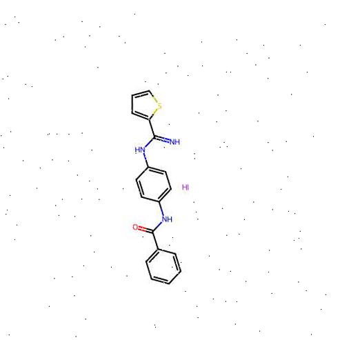 I.N=C(Nc1ccc(NC(=O)c2ccccc2)cc1)c1cccs1